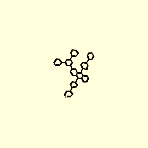 c1ccc(-c2cc(-c3ccccc3)cc(-c3ccc4c(-c5ccc(-c6ccncc6)cc5)c5ccccc5c(-c5ccc(-c6ccncc6)cc5)c4c3)c2)cc1